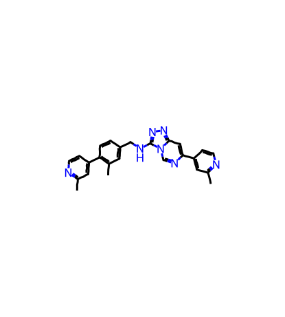 Cc1cc(-c2cc3nnc(NCc4ccc(-c5ccnc(C)c5)c(C)c4)n3cn2)ccn1